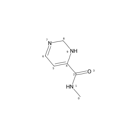 CNC(=O)C1=CC=NCN1